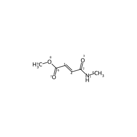 CNC(=O)C=CC(=O)OC